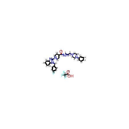 O=C(NCCCN1CCN(c2ccccc2)CC1)C1CCN(c2nc3ccccc3n2Cc2ccc(F)cc2)CC1.O=C(O)C(F)(F)F